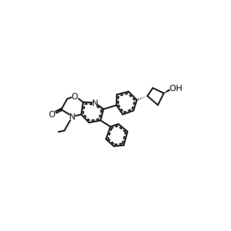 CCN1C(=O)COc2nc(-c3ccc([C@H]4C[C@H](O)C4)cc3)c(-c3ccccc3)cc21